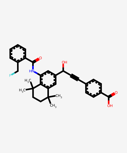 CC1(C)CCC(C)(C)c2c(NC(=O)c3ccccc3CF)cc(C(O)C#Cc3ccc(C(=O)O)cc3)cc21